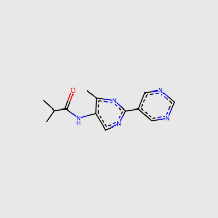 Cc1nc(-c2cncnc2)ncc1NC(=O)C(C)C